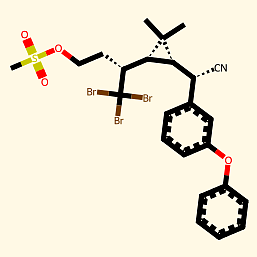 CC1(C)[C@@H]([C@@H](CCOS(C)(=O)=O)C(Br)(Br)Br)[C@H]1[C@H](C#N)c1cccc(Oc2ccccc2)c1